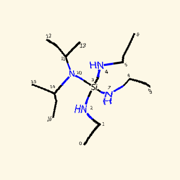 CCN[Si](NCC)(NCC)N(C(C)C)C(C)C